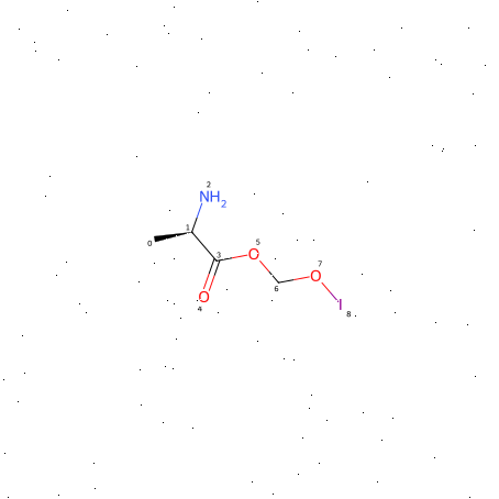 C[C@@H](N)C(=O)OCOI